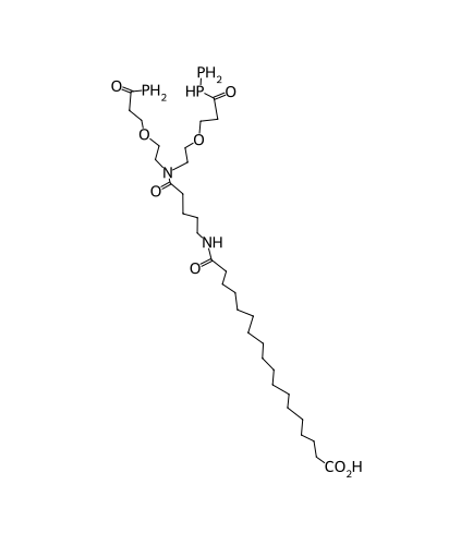 O=C(O)CCCCCCCCCCCCCCCCC(=O)NCCCCC(=O)N(CCOCCC(=O)P)CCOCCC(=O)PP